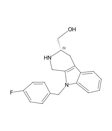 OC[C@@H]1Cc2c(n(Cc3ccc(F)cc3)c3ccccc23)CN1